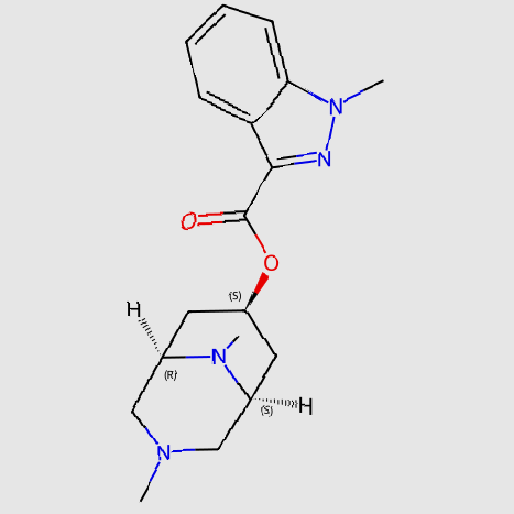 CN1C[C@H]2C[C@@H](OC(=O)c3nn(C)c4ccccc34)C[C@@H](C1)N2C